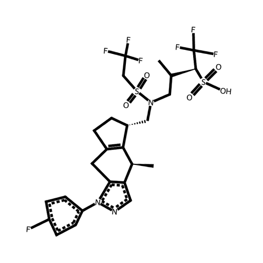 CC(CN(C[C@H]1CCC2=C1[C@@H](C)c1cnn(-c3ccc(F)cc3)c1C2)S(=O)(=O)CC(F)(F)F)[C@@H](C(F)(F)F)S(=O)(=O)O